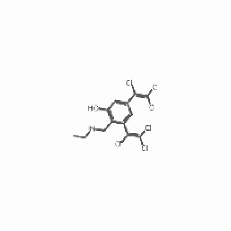 CCNCc1c(O)cc(C(Cl)=C(Cl)Cl)cc1C(Cl)=C(Cl)Cl